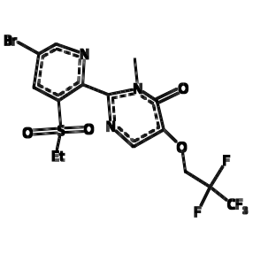 CCS(=O)(=O)c1cc(Br)cnc1-c1ncc(OCC(F)(F)C(F)(F)F)c(=O)n1C